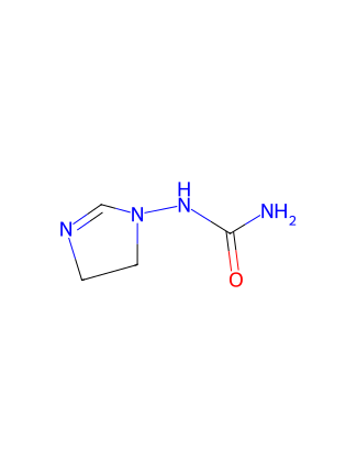 NC(=O)NN1C=NCC1